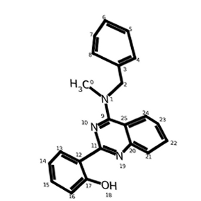 CN(Cc1ccccc1)c1nc(-c2ccccc2O)nc2ccccc12